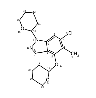 Cc1c(Cl)cc2c(cnn2C2CCCCO2)c1OC1CCCCO1